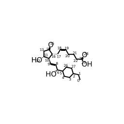 CCC1CCC([C@H](O)/C=C/[C@H]2[C@H](O)CC(=O)[C@@H]2C/C=C\CCCC(=O)O)CC1